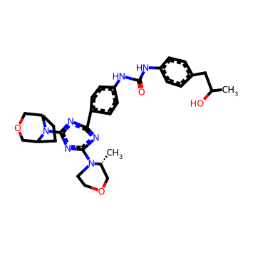 CC(O)Cc1ccc(NC(=O)Nc2ccc(-c3nc(N4C5CCC4COC5)nc(N4CCOC[C@H]4C)n3)cc2)cc1